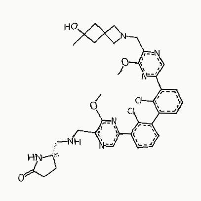 COc1nc(-c2cccc(-c3cccc(-c4cnc(CN5CC6(C5)CC(C)(O)C6)c(OC)n4)c3Cl)c2Cl)cnc1CNC[C@@H]1CCC(=O)N1